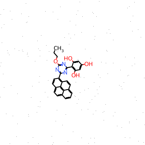 CCCOc1nc(-c2c(O)cc(O)cc2O)nc(-c2ccc3ccc4cccc5ccc2c3c45)n1